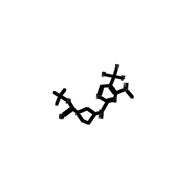 CNc1nc(NC2CCN(C(=O)OC(C)(C)C)C2)ncc1C(F)(F)F